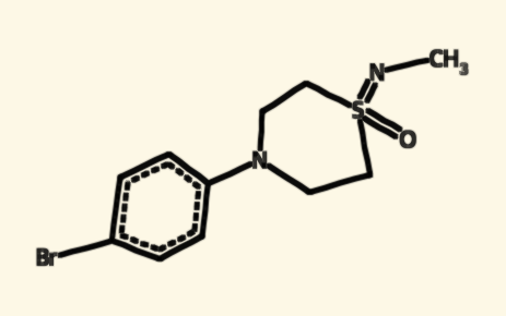 CN=S1(=O)CCN(c2ccc(Br)cc2)CC1